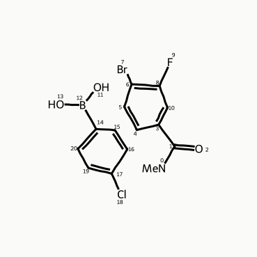 CNC(=O)c1ccc(Br)c(F)c1.OB(O)c1ccc(Cl)cc1